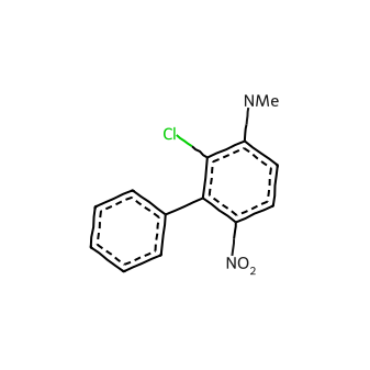 CNc1ccc([N+](=O)[O-])c(-c2ccccc2)c1Cl